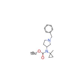 CC(C)(C)OC(=O)N(C1CCN(Cc2ccccc2)C1)C1(C)CC1